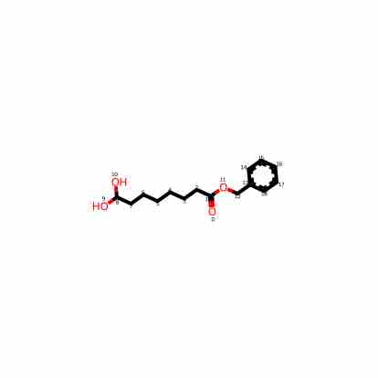 O=C(CCCCCCC(O)O)OCc1ccccc1